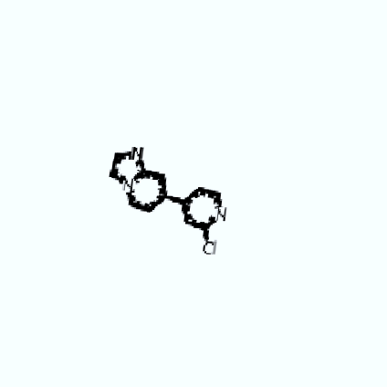 Clc1cc(-c2ccn3ccnc3c2)ccn1